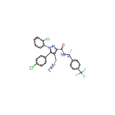 [C-]#[N+]Cc1c(C(=O)N[C@H](C)c2ccc(C(F)(F)F)cc2)nn(-c2ccccc2Cl)c1-c1ccc(Cl)cc1